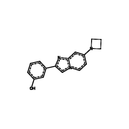 Oc1cccc(-c2cn3ccc(N4CCC4)cc3n2)c1